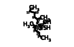 CCCCC(C)S(C(C)CCCC)=P(O)(O)S